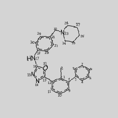 Cc1c(-c2ccccc2)cccc1-c1nnc(Nc2ccc(CN3CCCCC3)cc2)o1